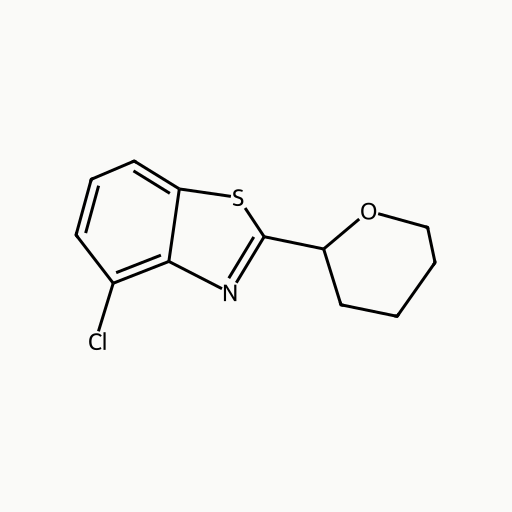 Clc1cccc2sc(C3CCCCO3)nc12